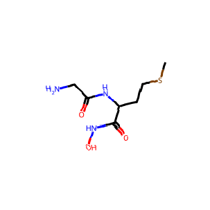 CSCCC(NC(=O)CN)C(=O)NO